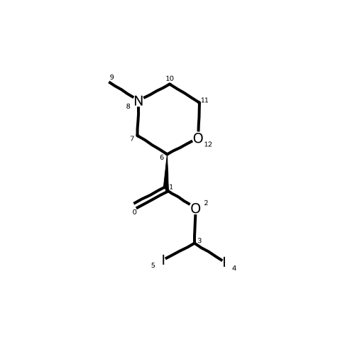 C=C(OC(I)I)[C@H]1CN(C)CCO1